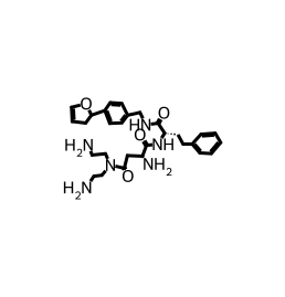 NCCN(CCN)C(=O)C[C@H](N)C(=O)N[C@@H](CCc1ccccc1)C(=O)NCc1ccc(C2CC=CO2)cc1